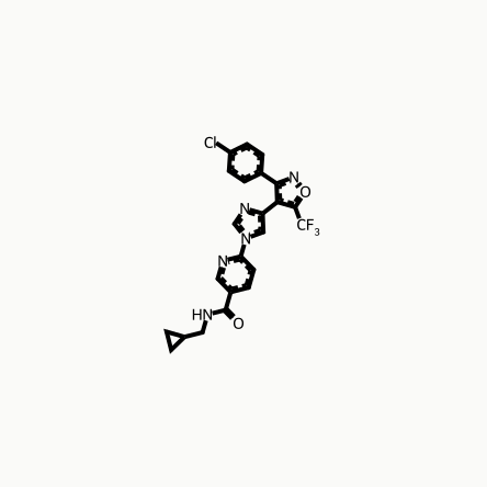 O=C(NCC1CC1)c1ccc(-n2cnc(-c3c(-c4ccc(Cl)cc4)noc3C(F)(F)F)c2)nc1